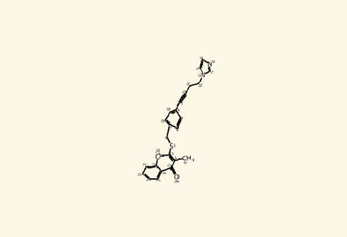 Cc1c(SCc2ccc(C#CCCn3ccnc3)cc2)oc2ccccc2c1=O